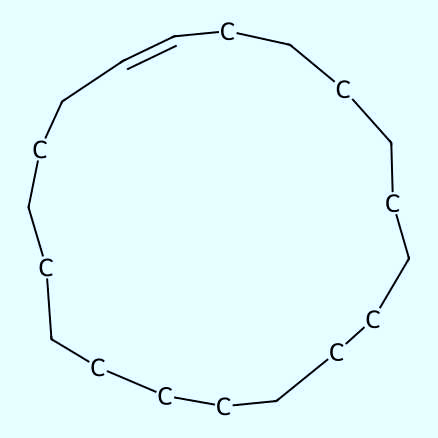 C1=CCCCCCCCCCCCCCCCCC1